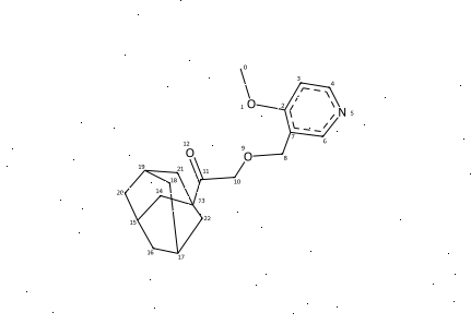 COc1ccncc1COCC(=O)C12CC3CC(CC(C3)C1)C2